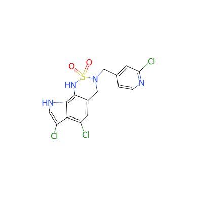 O=S1(=O)Nc2c(cc(Cl)c3c(Cl)c[nH]c23)CN1Cc1ccnc(Cl)c1